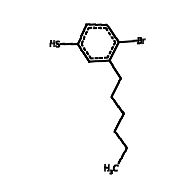 CCCCCCc1cc(S)ccc1Br